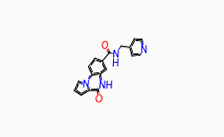 O=C(NCc1ccncc1)c1ccc2c(c1)[nH]c(=O)c1cccn12